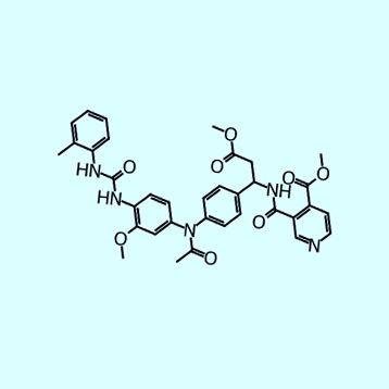 COC(=O)CC(NC(=O)c1cnccc1C(=O)OC)c1ccc(N(C(C)=O)c2ccc(NC(=O)Nc3ccccc3C)c(OC)c2)cc1